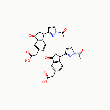 CC(=O)n1ccc(C2CC(=O)c3cc(CC(=O)O)ccc32)n1.CC(=O)n1ccc(C2CC(=O)c3cc(CC(=O)O)ccc32)n1